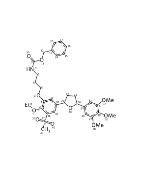 CCOc1c(OCCCNC(=O)OCc2ccccc2)cc(C2CCC(c3cc(OC)c(OC)c(OC)c3)O2)cc1S(C)(=O)=O